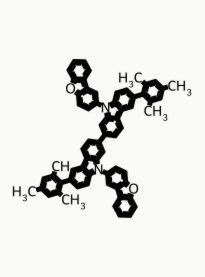 Cc1cc(C)c(-c2ccc3c(c2)c2ccc(-c4ccc5c6cc(-c7c(C)cc(C)cc7C)ccc6n(-c6ccc7oc8ccccc8c7c6)c5c4)cc2n3-c2ccc3oc4ccccc4c3c2)c(C)c1